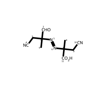 CC(C=O)(CC#N)N=NC(C)(CC#N)C(=O)O